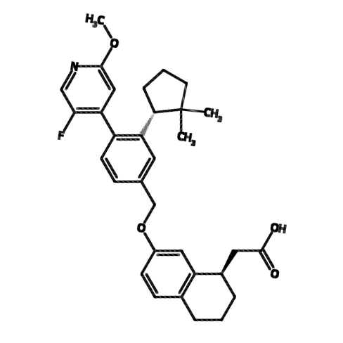 COc1cc(-c2ccc(COc3ccc4c(c3)[C@@H](CC(=O)O)CCC4)cc2[C@@H]2CCCC2(C)C)c(F)cn1